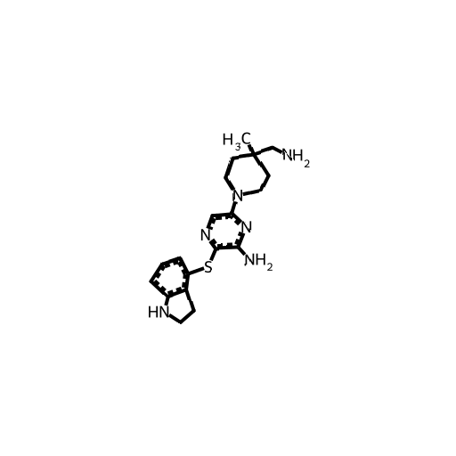 CC1(CN)CCN(c2cnc(Sc3cccc4c3CCN4)c(N)n2)CC1